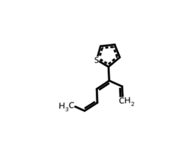 C=C/C(=C\C=C/C)c1cccs1